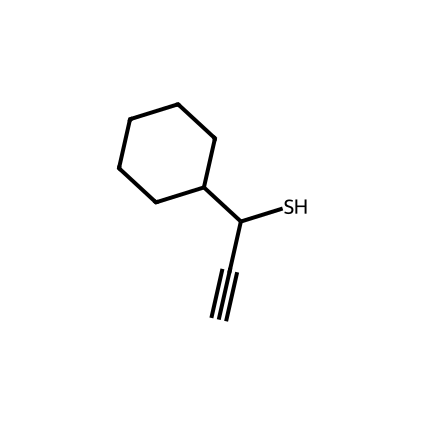 C#CC(S)C1CCCCC1